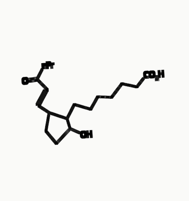 CCCC(=O)C=CC1CCC(O)C1CCCCCCC(=O)O